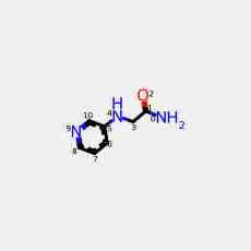 NC(=O)CNc1cccnc1